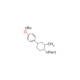 CCCCCC1CCC(c2ccc(OCCCC)cc2)CC1C